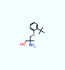 CC(N)(CO)CSc1ccccc1C(C)(C)C